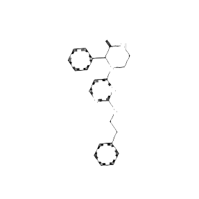 O=C1NCCN(c2ccnc(NCCc3ccccc3)n2)C1c1ccccc1